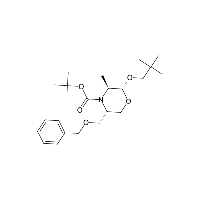 C[C@H]1[C@H](OCC(C)(C)C)OC[C@H](COCc2ccccc2)N1C(=O)OC(C)(C)C